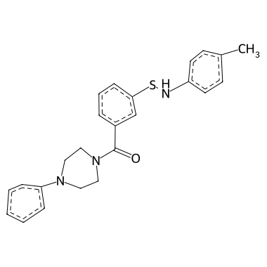 Cc1ccc(NSc2cccc(C(=O)N3CCN(c4ccccc4)CC3)c2)cc1